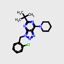 CC(C)(C)c1nc(N2CCCCC2)c2nnn(Cc3ccccc3Cl)c2n1